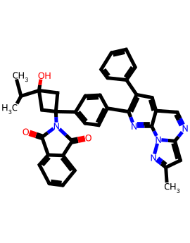 Cc1cc2ncc3cc(-c4ccccc4)c(-c4ccc(C5(N6C(=O)c7ccccc7C6=O)CC(O)(C(C)C)C5)cc4)nc3n2n1